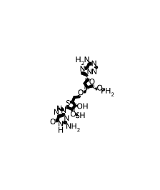 Nc1nc2c(nnn2[C@@H]2SC(CCOC[C@H]3C[C@H](c4cnc5c(N)ncnn45)O[C@@H]3COP)[C@@H](O)[C@H]2OS)c(=O)[nH]1